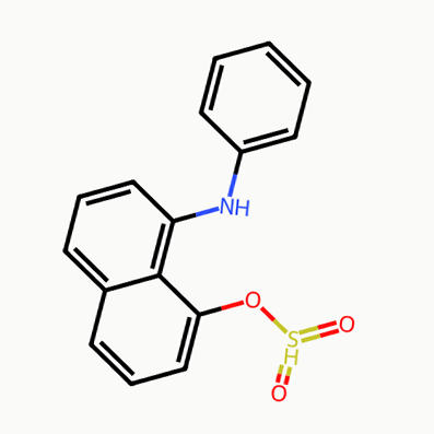 O=[SH](=O)Oc1cccc2cccc(Nc3ccccc3)c12